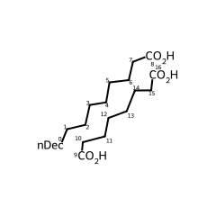 CCCCCCCCCCCCCCCCCC(=O)O.O=C(O)CCCCCCC(=O)O